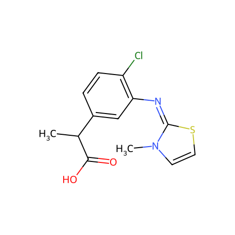 CC(C(=O)O)c1ccc(Cl)c(N=c2sccn2C)c1